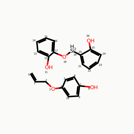 C=CCOc1ccc(O)cc1.Oc1ccccc1O[SiH2]c1ccccc1O